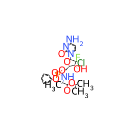 CC(C)OC(=O)[C@H](C)N[P@@](=O)(OC[C@H]1O[C@@H](n2ccc(N)nc2=O)[C@](F)(Cl)[C@@H]1O)Oc1ccccc1